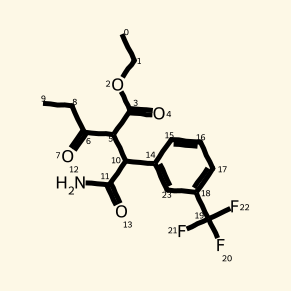 CCOC(=O)C(C(=O)CC)C(C(N)=O)c1cccc(C(F)(F)F)c1